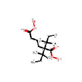 CC(C)(C)CC(C)(C)C(CCCC(=O)OO)(C(=O)OO)C(C)(C)CC(C)(C)C